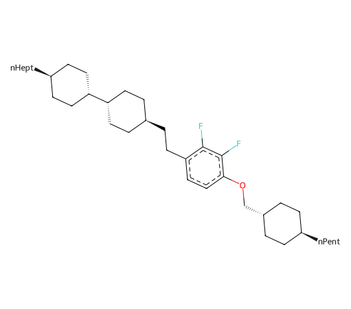 CCCCCCC[C@H]1CC[C@H]([C@H]2CC[C@H](CCc3ccc(OC[C@H]4CC[C@H](CCCCC)CC4)c(F)c3F)CC2)CC1